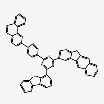 c1ccc2cc3c(cc2c1)oc1ccc(-c2nc(-c4ccc(-c5ccc6ccc7ccccc7c6c5)cc4)nc(-c4cccc5c4oc4ccccc45)n2)cc13